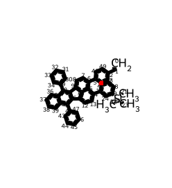 C=Cc1ccc(-c2ccc3c4c(ccc(-c5cccc([Si](C)(C)C)c5)c24)-c2c-3c(-c3ccccc3)c3ccccc3c2-c2ccccc2)cc1